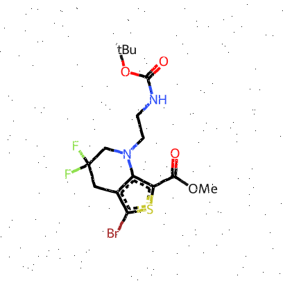 COC(=O)c1sc(Br)c2c1N(CCNC(=O)OC(C)(C)C)CC(F)(F)C2